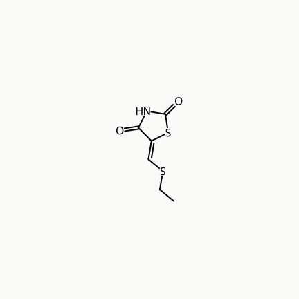 CCSC=C1SC(=O)NC1=O